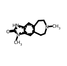 CN1CCc2cc3[nH]c(=O)n(C)c3cc2CC1